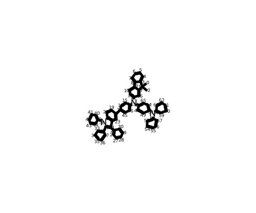 CC1(C)c2ccccc2-c2ccc(N(c3ccc(-c4ccc5c(c4)c(-c4ccccc4)c(-c4ccccc4)n5-c4ccccc4)cc3)c3ccc(N(c4ccccc4)c4ccccc4)cc3)cc21